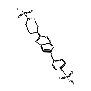 CS(=O)(=O)c1ccc(-c2cn3nc(C4CCN(S(C)(=O)=O)CC4)sc3n2)cc1